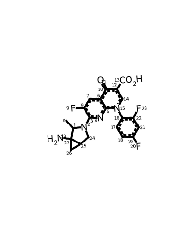 CC1N(c2nc3c(cc2F)c(=O)c(C(=O)O)cn3-c2ccc(F)cc2F)CC2CC21N